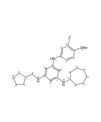 COc1ccc(Nc2nc(NCC3CCOC3)nc(NC3CCCCCC3)n2)cc1F